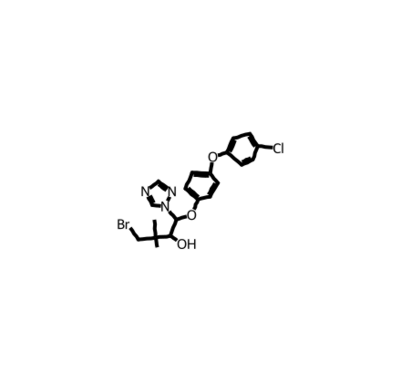 CC(C)(CBr)C(O)C(Oc1ccc(Oc2ccc(Cl)cc2)cc1)n1cncn1